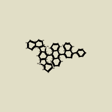 c1ccc(-c2ccc(-c3c4ccccc4c(-c4c5sc6ccc7ccccc7c6c5cc5oc6ccccc6c45)c4ccccc34)c3ccccc23)cc1